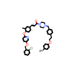 Cc1cc(/C=C/C(=O)N2CCN(Cc3ccc(CCOc4ccc(C(C)C)cc4)cc3)CC2)ccc1Oc1ccc(OCc2ccccc2Cl)cn1